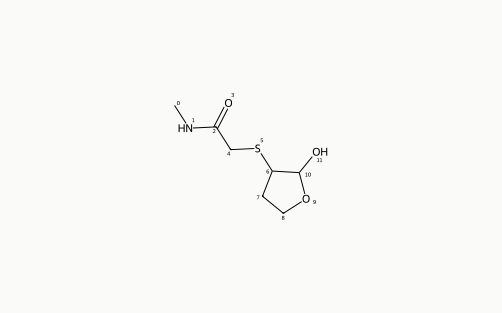 CNC(=O)CSC1CCOC1O